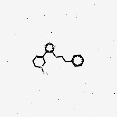 CN1CCC=C(c2nsnc2SCCc2ccccc2)C1